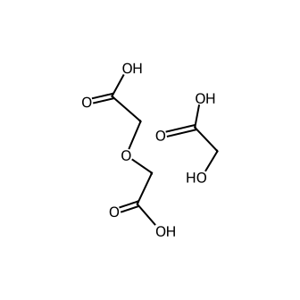 O=C(O)CO.O=C(O)COCC(=O)O